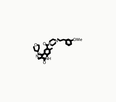 COc1cccc(CCCN2CCN(C(=O)c3cc4c(cc3C)[nH]c(=O)c3cnn(C5CCOCC5)c34)CC2)c1